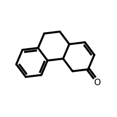 O=C1C=CC2CCc3ccccc3C2C1